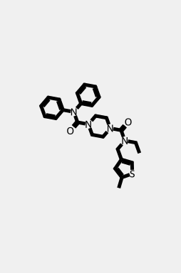 CCN(Cc1csc(C)c1)C(=O)N1CCN(C(=O)N(c2ccccc2)c2ccccc2)CC1